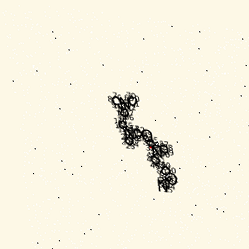 c1ccc(-n2c3ccccc3c3cc(-c4cccc(-n5c6ccccc6c6cc(Oc7ccc8c(c7)c7ccccc7n8-c7cccc(-c8ccc9oc%10ccncc%10c9c8)c7)ccc65)c4)ccc32)cc1